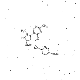 COc1ccc([C@H]2C[C@@H]2COc2nc(C)ncc2C2=CC(OC)NN2C)nc1